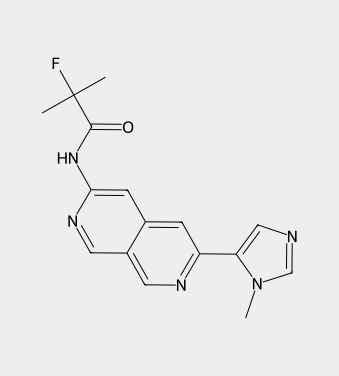 Cn1cncc1-c1cc2cc(NC(=O)C(C)(C)F)ncc2cn1